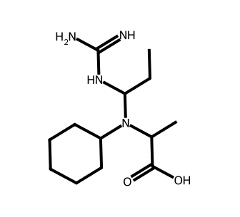 CCC(NC(=N)N)N(C1CCCCC1)C(C)C(=O)O